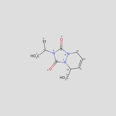 CCC(C(=O)O)n1c(=O)n2n(c1=O)C(C(=O)O)C=CC2